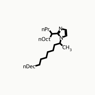 CCCCCCCCCCCCCCCCC(C)n1ccnc1C(CCC)CCCCCCCC